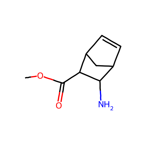 COC(=O)C1C2C=CC(C2)C1N